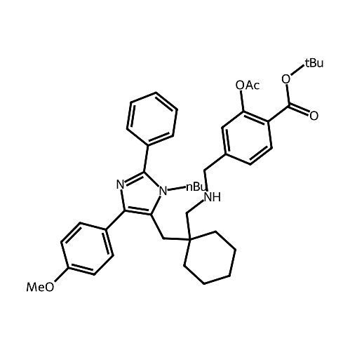 CCCCn1c(-c2ccccc2)nc(-c2ccc(OC)cc2)c1CC1(CNCc2ccc(C(=O)OC(C)(C)C)c(OC(C)=O)c2)CCCCC1